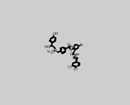 CN(Cc1ccc(C(=O)Nc2ccc(Br)cc2C(=O)NN=Cc2ccc(Cl)c(C(F)(F)F)c2)cc1)CC(O)c1ccc(O)cc1